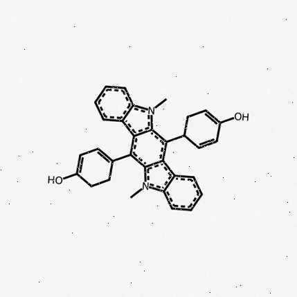 Cn1c2ccccc2c2c(C3C=CC(O)=CC3)c3c(c(C4=CC=C(O)CC4)c21)c1ccccc1n3C